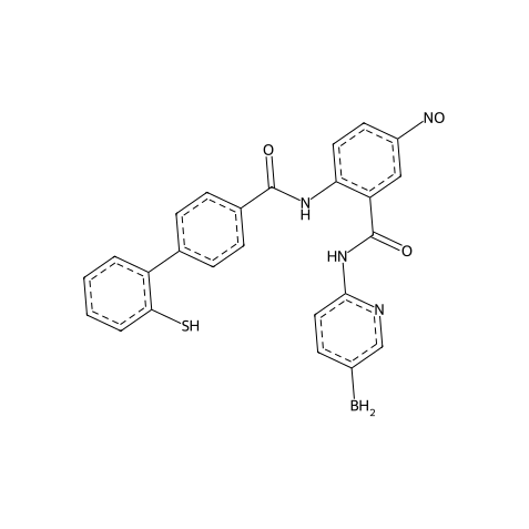 Bc1ccc(NC(=O)c2cc(N=O)ccc2NC(=O)c2ccc(-c3ccccc3S)cc2)nc1